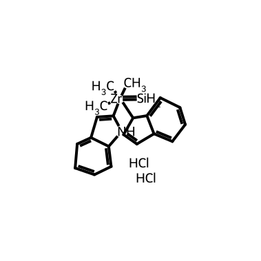 Cl.Cl.[CH3][Zr]([CH3])([CH3])(=[SiH2])([c]1cc2ccccc2[nH]1)[CH]1C=Cc2ccccc21